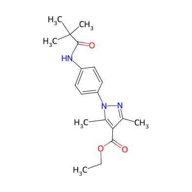 CCOC(=O)c1c(C)nn(-c2ccc(NC(=O)C(C)(C)C)cc2)c1C